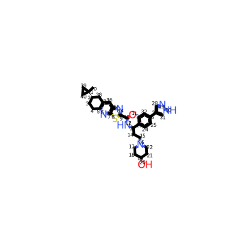 CC1([C@H]2CCc3nc4sc(C(=O)NC(CCN5CCC(O)CC5)c5ccc(-c6cn[nH]c6)cc5)nc4cc3C2)CC1